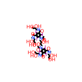 CC(=O)N(CC(O)C(O)CN(C(C)=O)c1c(I)c(C(=O)N(C)CC(O)CO)c(I)c(C(=O)N(C)CC(O)CO)c1I)c1c(I)c(C(=O)N(C)CC(O)CO)c(I)c(C(=O)N(C)CC(O)CO)c1I